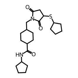 O=C(NC1CCCC1)C1CCC(CN2C(=O)CC(SC3CCCC3)C2=O)CC1